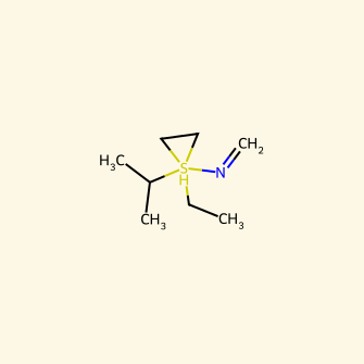 C=N[SH]1(CC)(C(C)C)CC1